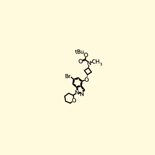 CN(C(=O)OC(C)(C)C)[C@H]1C[C@H](Oc2cc(Br)cc3c2cnn3C2CCCCO2)C1